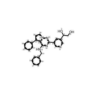 OCC(O)c1cncc(-c2nc(NCc3ccccc3)c3c(-c4ccccc4)ccn3n2)c1